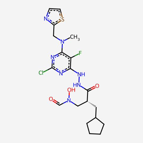 CN(Cc1nccs1)c1nc(Cl)nc(NNC(=O)[C@H](CC2CCCC2)CN(O)C=O)c1F